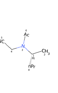 CCC[C@@H](C)N(CC#N)C(C)=O